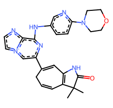 CC1(C)C(=O)NC2=C1C=CCC(c1cn3ccnc3c(Nc3ccc(N4CCOCC4)nc3)n1)=C2